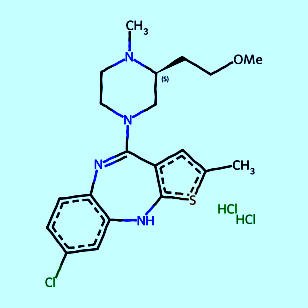 COCC[C@H]1CN(C2=Nc3ccc(Cl)cc3Nc3sc(C)cc32)CCN1C.Cl.Cl